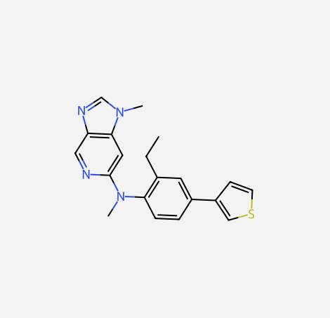 CCc1cc(-c2ccsc2)ccc1N(C)c1cc2c(cn1)ncn2C